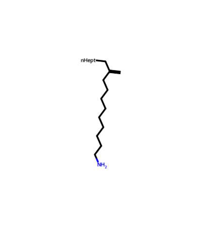 C=C(CCCCCCCC)CCCCCCCCCN